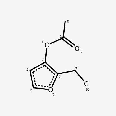 CC(=O)Oc1ccoc1CCl